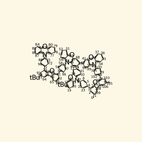 Cc1cc(-c2ccc(N3c4ccccc4Oc4ccccc43)cc2)c2oc3c(-c4ccc(N5c6ccccc6Oc6cc(-c7ccc8c(c7)Oc7ccccc7N8c7ccc(-c8cc(C(C)(C)C)cc9c8oc8c(-c%10ccc(N%11c%12ccccc%12Oc%12ccccc%12%11)cc%10)cc(C(C)(C)C)cc89)cc7)ccc65)cc4)cc(C)cc3c2c1